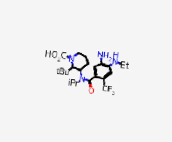 CCNc1cc(C(F)(F)F)c(C(=O)N(C(C)C)[C@@H]2CCCN(C(=O)O)C2C(C)(C)C)cc1N